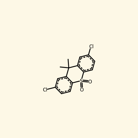 CC1(C)c2cc(Cl)ccc2S(=O)(=O)c2ccc(Cl)cc21